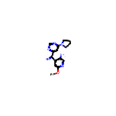 CC(C)Oc1cc(C(=N)c2cc(N3CCCC3)ncn2)c(N)cn1